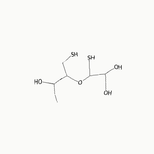 CC(O)C(CS)OC(S)C(O)O